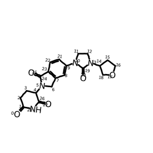 O=C1CCC(N2Cc3cc(N4CCN(C5CCOC5)C4=O)ccc3C2=O)C(=O)N1